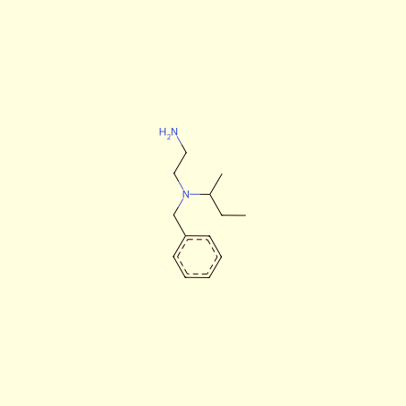 CCC(C)N(CCN)Cc1ccccc1